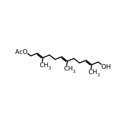 CC(=O)OC/C=C(\C)CC/C=C(\C)CC/C=C(\C)CO